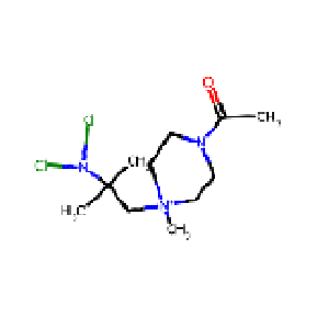 CC(=O)N1CC[N+](C)(CC(C)(C)N(Cl)Cl)CC1